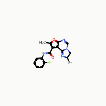 CCC1CN2C=Nc3oc(C)c(C(=O)Nc4ccccc4F)c3C2=N1